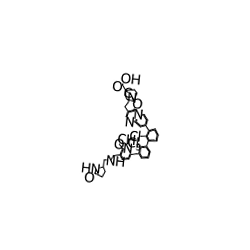 COc1nc(-c2cccc(-c3cccc(-c4ccn5c(=O)c(CN6CC7(C(=O)O)CCC6CC7)cnc5c4)c3Cl)c2Cl)ccc1CNCC1CCC(=O)N1